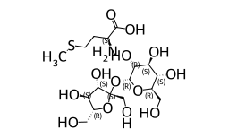 CSCC[C@H](N)C(=O)O.OC[C@H]1O[C@@](CO)(O[C@H]2O[C@H](CO)[C@@H](O)[C@H](O)[C@H]2O)[C@@H](O)[C@@H]1O